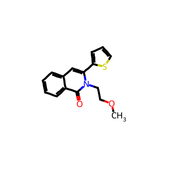 COCCn1c(-c2cccs2)cc2ccccc2c1=O